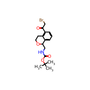 CC(C)(C)OC(=O)NCC1OCCc2c(C(=O)CBr)cccc21